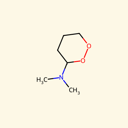 CN(C)[C]1CCCOO1